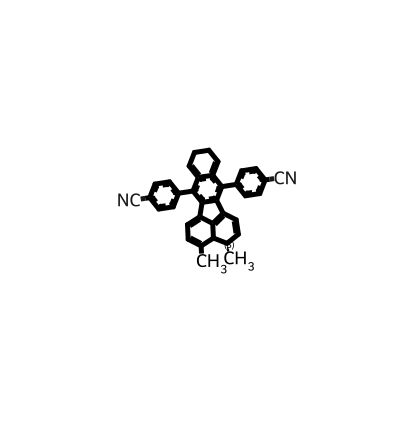 CC1=CC=C2C3=C(C=C[C@H](C)C13)c1c2c(-c2ccc(C#N)cc2)c2c(c1-c1ccc(C#N)cc1)=CCCC=2